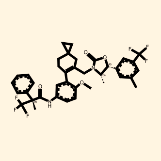 COc1ccc(NC(=O)[C@@](C)(c2ccccc2)C(F)(F)F)cc1C1=C(CN2C(=O)O[C@H](c3cc(C)cc(C(F)(F)F)c3)[C@@H]2C)CC2(CC1)CC2